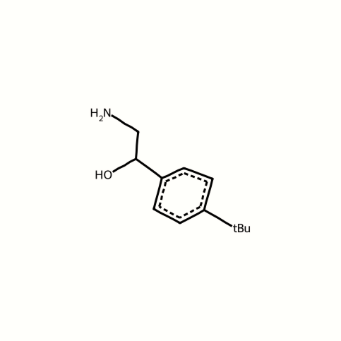 CC(C)(C)c1ccc(C(O)CN)cc1